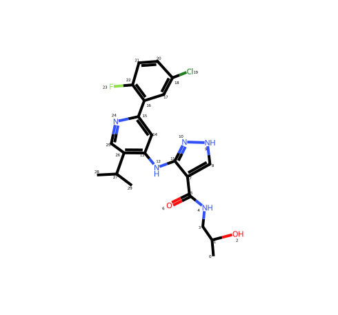 CC(O)CNC(=O)c1c[nH]nc1Nc1cc(-c2cc(Cl)ccc2F)ncc1C(C)C